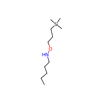 CCCCCNOCCC[Si](C)(C)C